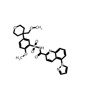 COCC1(c2ccc(OC)c(S(=O)(=O)NC(=O)c3ccc4c(-n5cccn5)cccc4n3)c2)CCOCC1